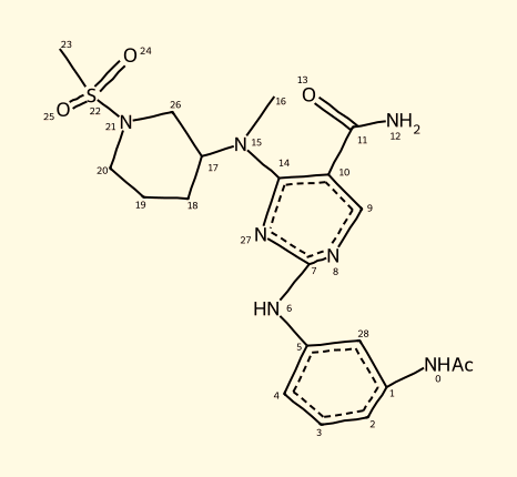 CC(=O)Nc1cccc(Nc2ncc(C(N)=O)c(N(C)C3CCCN(S(C)(=O)=O)C3)n2)c1